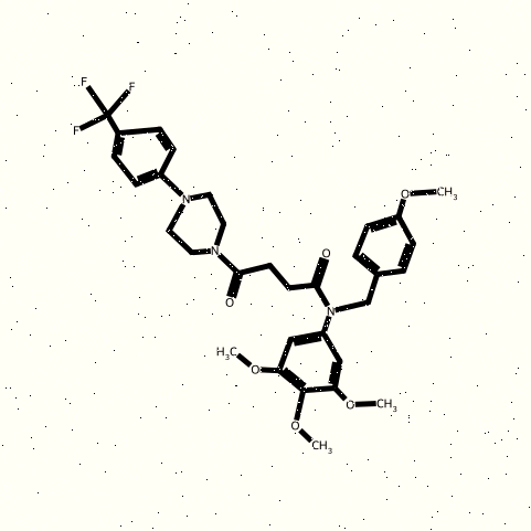 COc1ccc(CN(C(=O)CCC(=O)N2CCN(c3ccc(C(F)(F)F)cc3)CC2)c2cc(OC)c(OC)c(OC)c2)cc1